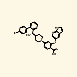 O=C(O)c1ccc(N2CCC([C@H](O)c3ccccc3-c3ccc(Cl)cc3)CC2)cc1Oc1cnc2[nH]ccc2c1